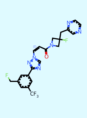 O=C(/C=C\n1cnc(-c2cc(CF)cc(C(F)(F)F)c2)n1)N1CC(F)(Cc2cnccn2)C1